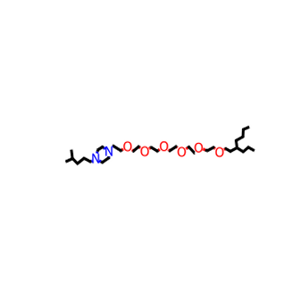 CCCCC(CCC)CCOCCOCCOCCOCCOCCOCCN1CCN(CCCC(C)C)CC1